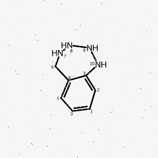 c1ccc2c(c1)CNNNN2